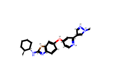 C[C@H]1CCCC[C@@H]1Nc1nc2ccc(Oc3ccnc(-c4cnn(C)c4)c3)cc2s1